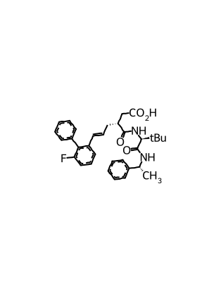 C[C@@H](NC(=O)[C@@H](NC(=O)[C@H](CC=Cc1cccc(F)c1-c1ccccc1)CC(=O)O)C(C)(C)C)c1ccccc1